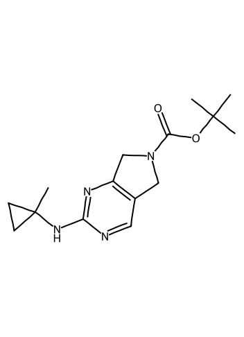 CC1(Nc2ncc3c(n2)CN(C(=O)OC(C)(C)C)C3)CC1